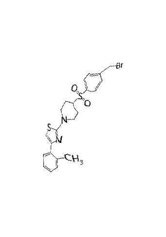 Cc1ccccc1-c1csc(N2CCC(S(=O)(=O)c3ccc(CBr)cc3)CC2)n1